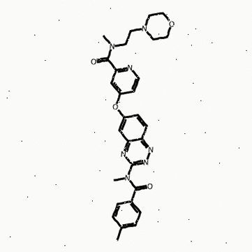 Cc1ccc(C(=O)N(C)c2nnc3ccc(Oc4ccnc(C(=O)N(C)CCN5CCOCC5)c4)cc3n2)cc1